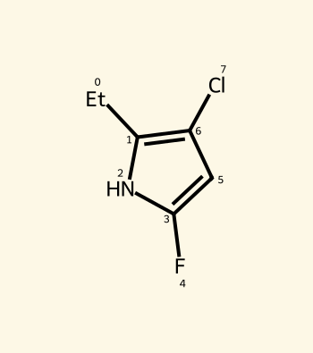 CCc1[nH]c(F)cc1Cl